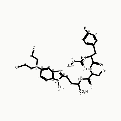 CC(C)CC(NC(=O)C(Cc1ccc(F)cc1)NC(=O)OC(C)(C)C)C(=O)NC(CCc1nc2cc(N(CCCl)CCCl)ccc2n1C)C(=O)O